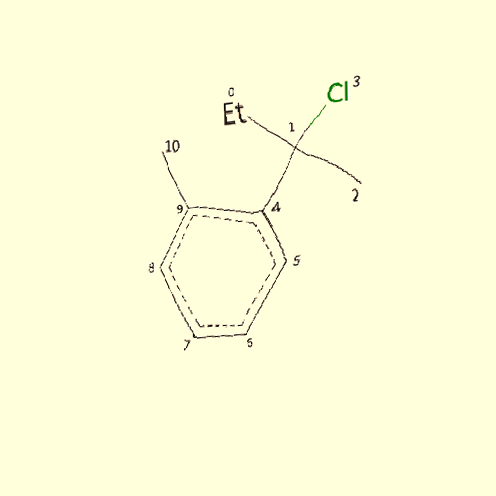 CCC(C)(Cl)c1ccccc1C